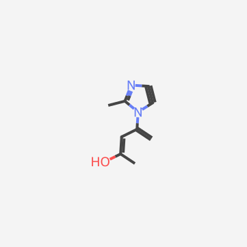 C=C(/C=C(\C)O)n1c#cnc1C